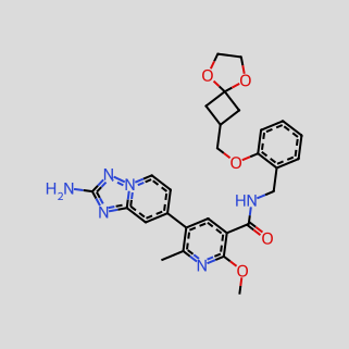 COc1nc(C)c(-c2ccn3nc(N)nc3c2)cc1C(=O)NCc1ccccc1OCC1CC2(C1)OCCO2